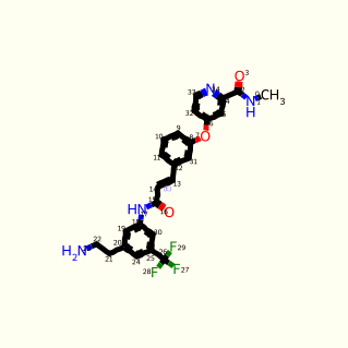 CNC(=O)c1cc(Oc2cccc(/C=C/C(=O)Nc3cc(CCN)cc(C(F)(F)F)c3)c2)ccn1